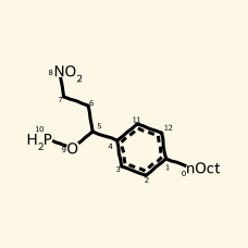 CCCCCCCCc1ccc(C(CC[N+](=O)[O-])OP)cc1